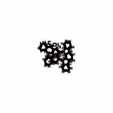 CC1(C)c2ccccc2-n2c3ccccc3c3cc(-n4c5ccccc5c5ccc6c7ccccc7n(-c7ccccc7)c6c54)cc1c32